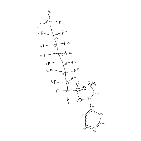 CO[I+](OS(=O)(=O)C(F)(F)C(F)(F)C(F)(F)C(F)(F)C(F)(F)C(F)(F)C(F)(F)C(F)(F)F)c1ccccc1